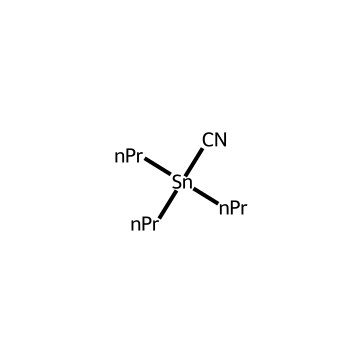 CC[CH2][Sn]([C]#N)([CH2]CC)[CH2]CC